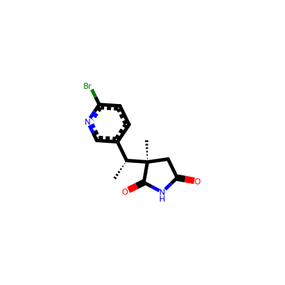 C[C@H](c1ccc(Br)nc1)[C@@]1(C)CC(=O)NC1=O